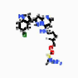 CN(N)SOOCC1CCC(Nc2ccnc3cc(-c4c[nH]c5ccc(Cl)cc45)nn23)C1